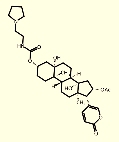 CC(=O)O[C@H]1C[C@]2(O)[C@@H]3CC[C@]4(O)C[C@@H](OC(=O)NCCN5CCCC5)CC[C@]4(C)[C@H]3CC[C@]2(C)[C@H]1c1ccc(=O)oc1